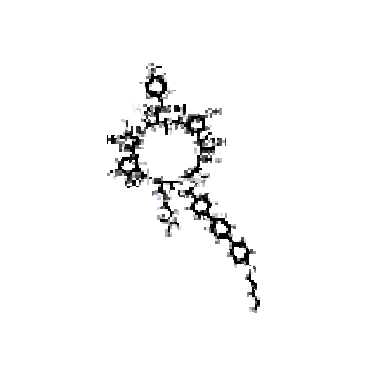 CCCCCOc1ccc(-c2ccc(-c3ccc(C(=O)N[C@H]4C[C@@H](O)C(/C=N/CC[N+](C)(C)C)NC(=O)[C@@H]5[C@@H](O)[C@@H](C)CN5C(=O)[C@H]([C@@H](C)O)NC(=O)[C@H]([C@H](O)[C@@H](O)c5ccc(O)cc5)NC(=O)[C@@H]5C[C@@H](O)CN5C(=O)[C@H]([C@@H](C)O)NC4=O)cc3)cc2)cc1